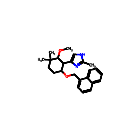 COC1C(c2c[nH]c(C)n2)C(OCc2cccc3ccccc23)CCC1(C)C